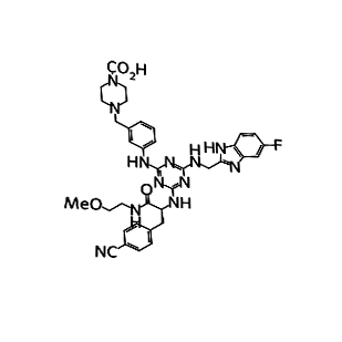 COCCNC(=O)[C@H](Cc1ccc(C#N)cc1)Nc1nc(NCc2nc3cc(F)ccc3[nH]2)nc(Nc2cccc(CN3CCN(C(=O)O)CC3)c2)n1